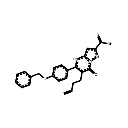 C=CCCc1c(-c2ccc(OCc3ccccc3)cc2)[nH]c2cc(C(=O)O)nn2c1=O